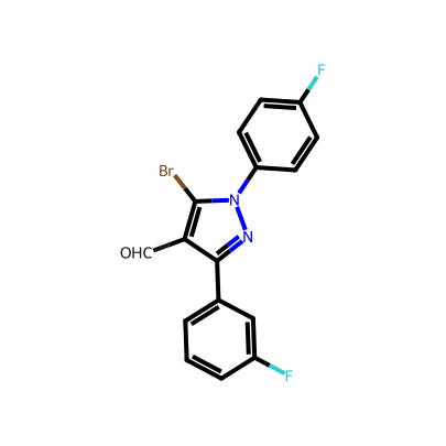 O=Cc1c(-c2cccc(F)c2)nn(-c2ccc(F)cc2)c1Br